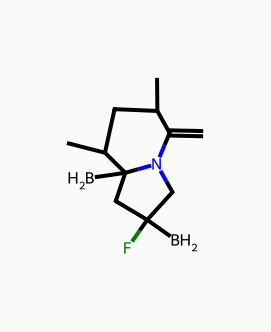 BC1(F)CN2C(=C)C(C)CC(C)C2(B)C1